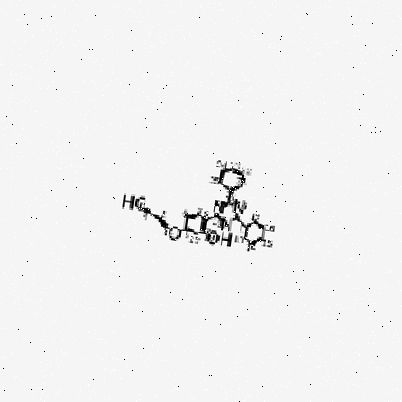 C#CC#COc1ccc(-c2nc(-c3ccccc3)nc(-c3ccccc3)n2)c(O)c1